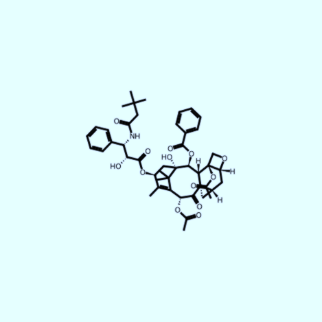 CC(=O)O[C@H]1C(=O)[C@]23C[C@H]2C[C@H]2OC[C@@]2(OC(C)=O)[C@H]3[C@H](OC(=O)c2ccccc2)[C@]2(O)C[C@H](OC(=O)[C@H](O)[C@@H](NC(=O)CC(C)(C)C)c3ccccc3)C(C)=C1C2(C)C